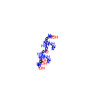 Cn1cnc(CCNc2nc(N[C@@H]3CCN(C(=O)N4CC[C@@H](Nc5nc(NCCc6cn(C)cn6)nc6c5ncn6[C@@H]5C[C@H](n6ncc(CO)n6)[C@@H](O)[C@H]5O)C4)C3)c3ncn([C@H]4CC[C@@H](n5ncc(CO)n5)C4)c3n2)c1